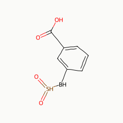 O=C(O)c1cccc(B[SH](=O)=O)c1